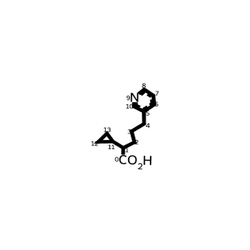 O=C(O)C(CCCc1cccnc1)C1CC1